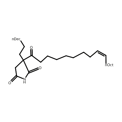 CCCCCCCC/C=C\CCCCCCCC(=O)C1(CCCCCCCCCCCC)CC(=O)NC1=O